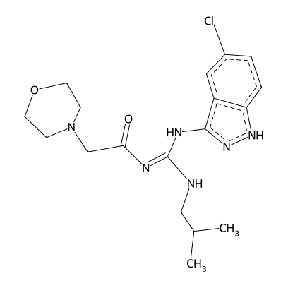 CC(C)CN/C(=N/C(=O)CN1CCOCC1)Nc1n[nH]c2ccc(Cl)cc12